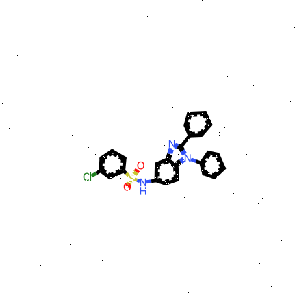 O=S(=O)(Nc1ccc2c(c1)nc(-c1ccccc1)n2-c1ccccc1)c1cccc(Cl)c1